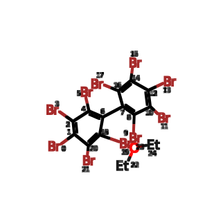 Brc1c(Br)c(Br)c(-c2c(Br)c(Br)c(Br)c(Br)c2Br)c(Br)c1Br.CCOCC